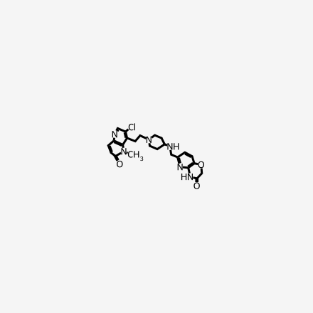 Cn1c(=O)ccc2ncc(Cl)c(CCN3CCC(NCc4ccc5c(n4)NC(=O)CO5)CC3)c21